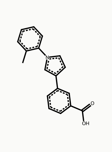 Cc1ccccc1-n1ccc(-c2cccc(C(=O)O)c2)c1